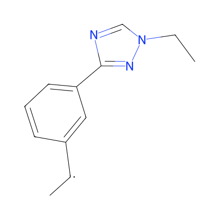 C[CH]c1cccc(-c2ncn(CC)n2)c1